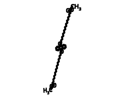 CCOC(=O)CCCCCCCCCCCCCCCCCCCOc1c2ccccc2c(OCCCCCCCCCCCCCCCCCCCC(=O)OCC)c2ccccc12